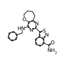 NC(=O)c1cccc2c(-c3nc4c(c(NCc5ccccc5)n3)OCCCC4)snc12